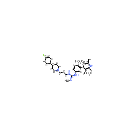 CC1=C(C(=O)O)C(c2cccc(NC(=NC#N)NCCCN3CCC(C4CC=C(F)CC4)CC3)c2)C(C(=O)O)=C(C)N1